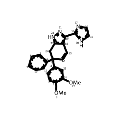 COc1ccc(C2(c3ccccc3)C=Cc3c(-c4ncc[nH]4)n[nH]c3C2)cc1OC